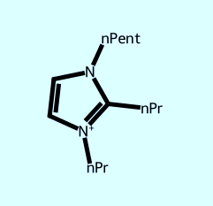 CCCCCn1cc[n+](CCC)c1CCC